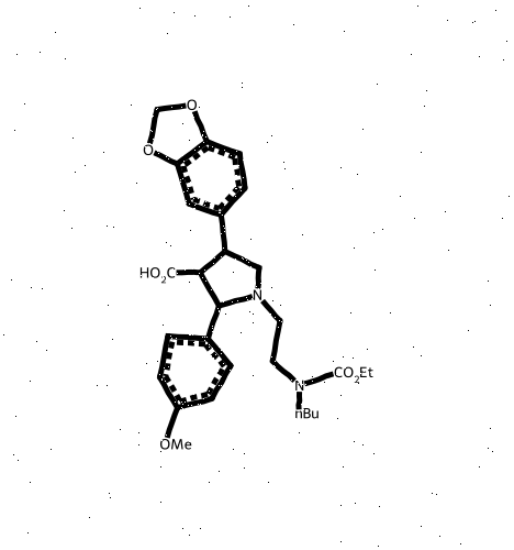 CCCCN(CCN1CC(c2ccc3c(c2)OCO3)C(C(=O)O)C1c1ccc(OC)cc1)C(=O)OCC